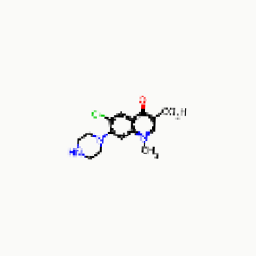 Cn1cc(C(=O)O)c(=O)c2cc(Cl)c(N3CCNCC3)cc21